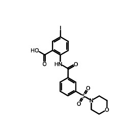 O=C(Nc1ccc(I)cc1C(=O)O)c1cccc(S(=O)(=O)N2CCOCC2)c1